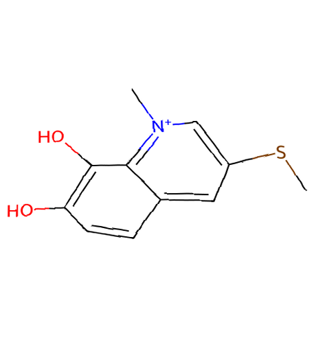 CSc1cc2ccc(O)c(O)c2[n+](C)c1